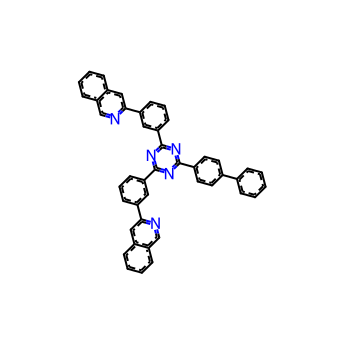 c1ccc(-c2ccc(-c3nc(-c4cccc(-c5cc6ccccc6cn5)c4)nc(-c4cccc(-c5cc6ccccc6cn5)c4)n3)cc2)cc1